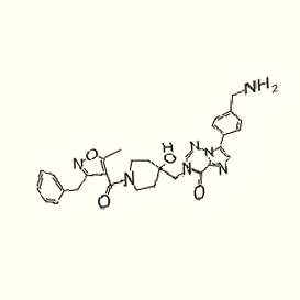 Cc1onc(Cc2ccccc2)c1C(=O)N1CCC(O)(Cn2cnn3c(-c4ccc(CN)cc4)cnc3c2=O)CC1